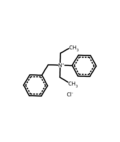 CC[N+](CC)(Cc1ccccc1)c1ccccc1.[Cl-]